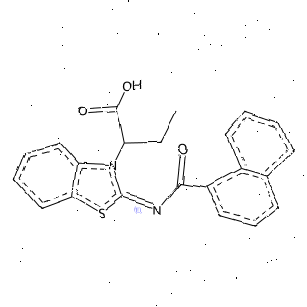 CCC(C(=O)O)n1/c(=N\C(=O)c2cccc3ccccc23)sc2ccccc21